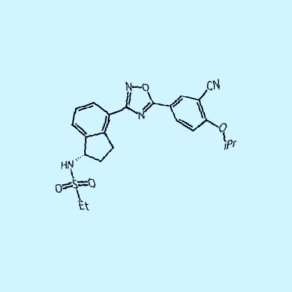 CCS(=O)(=O)N[C@H]1CCc2c(-c3noc(-c4ccc(OC(C)C)c(C#N)c4)n3)cccc21